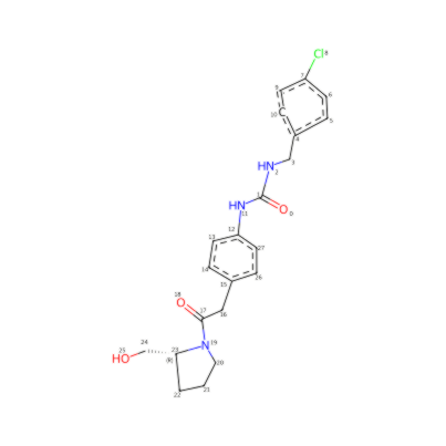 O=C(NCc1ccc(Cl)cc1)Nc1ccc(CC(=O)N2CCC[C@@H]2CO)cc1